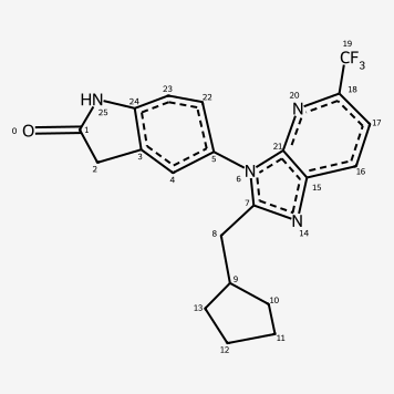 O=C1Cc2cc(-n3c(CC4CCCC4)nc4ccc(C(F)(F)F)nc43)ccc2N1